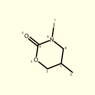 CC1COC(=O)N(I)C1